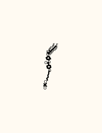 CC1(COCCCCCCOc2ccc(C(=O)Oc3ccc(OC(F)(F)C(F)(F)C(F)(F)C(F)(F)C(F)(F)C(F)(F)F)cc3)cc2)COC1